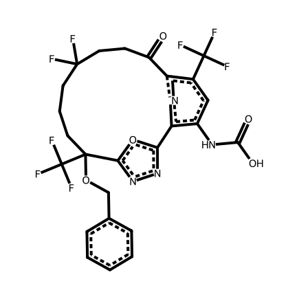 O=C(O)Nc1cc(C(F)(F)F)c2nc1-c1nnc(o1)C(OCc1ccccc1)(C(F)(F)F)CCCC(F)(F)CCC2=O